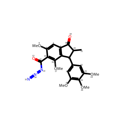 COc1cc(C2c3c(cc(OC)c(C(=O)N=[N+]=[N-])c3OC)C(=O)C2C)cc(OC)c1OC